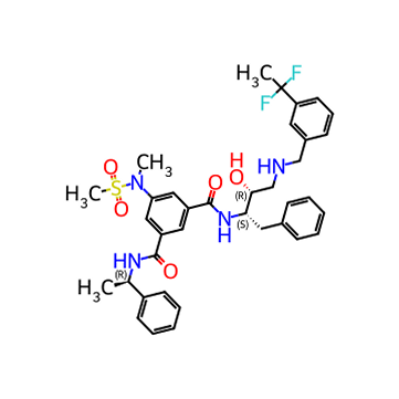 C[C@@H](NC(=O)c1cc(C(=O)N[C@@H](Cc2ccccc2)[C@H](O)CNCc2cccc(C(C)(F)F)c2)cc(N(C)S(C)(=O)=O)c1)c1ccccc1